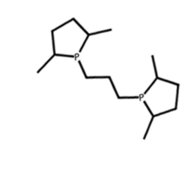 CC1CCC(C)P1CCCP1C(C)CCC1C